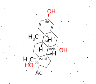 CC(=O)[C@@]1(O)CC[C@H]2[C@@H]3[C@@H](O)CC4=C[C@H](O)C=C[C@]4(C)[C@H]3CC[C@@]21C